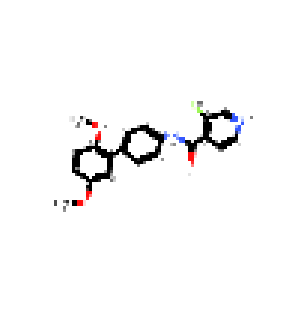 COc1ccc(OC)c(-c2ccc(NC(=O)c3ccncc3F)cc2)c1